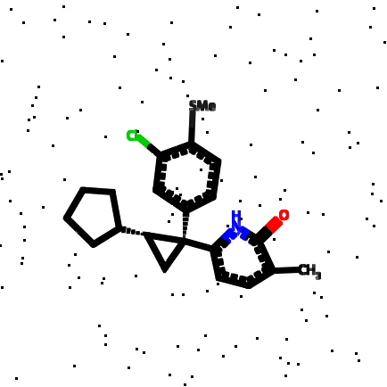 CSc1ccc([C@]2(c3ccc(C)c(=O)[nH]3)C[C@@H]2C2CCCC2)cc1Cl